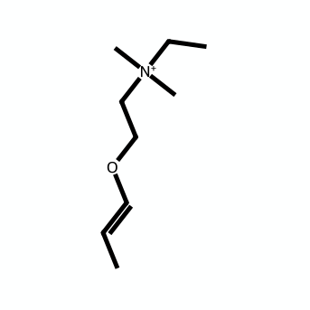 C/C=C/OCC[N+](C)(C)CC